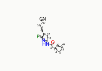 Cc1cccc(CC(=O)Nc2ccc(C#CCCC#N)c(F)n2)c1